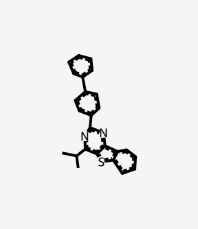 CC(C)c1nc(-c2ccc(-c3ccccc3)cc2)nc2c1sc1ccccc12